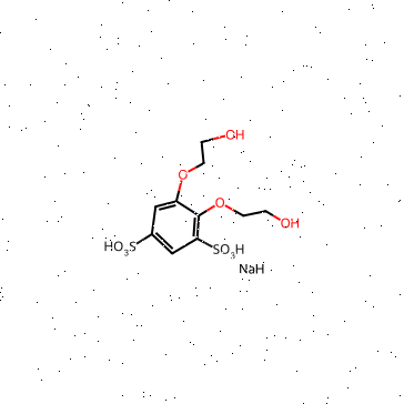 O=S(=O)(O)c1cc(OCCO)c(OCCO)c(S(=O)(=O)O)c1.[NaH]